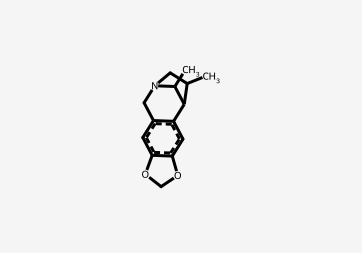 CC1CN2Cc3cc4c(cc3C1C2C)OCO4